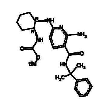 CC(C)(C)OC(=O)N[C@H]1CCCC[C@H]1Nc1ccc(C(=O)NC(C)(C)c2ccccc2)c(N)n1